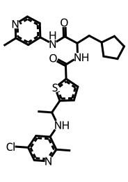 Cc1cc(NC(=O)C(CC2CCCC2)NC(=O)c2ccc(C(C)Nc3cc(Cl)cnc3C)s2)ccn1